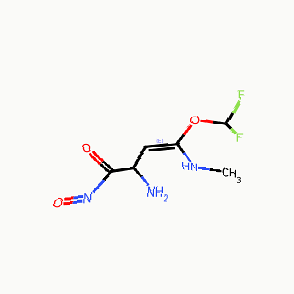 CN/C(=C\C(N)C(=O)N=O)OC(F)F